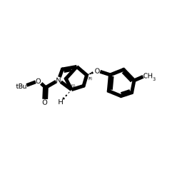 Cc1cccc(O[C@@H]2C[C@@H]3CC2=CN3C(=O)OC(C)(C)C)c1